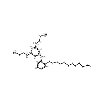 CCCCCCCCCCCCc1ccccc1Nc1nc(NCCO)nc(NCCO)n1